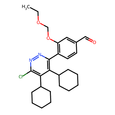 CCOCOc1cc(C=O)ccc1-c1nnc(Cl)c(C2CCCCC2)c1C1CCCCC1